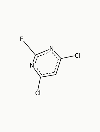 Fc1nc(Cl)cc(Cl)n1